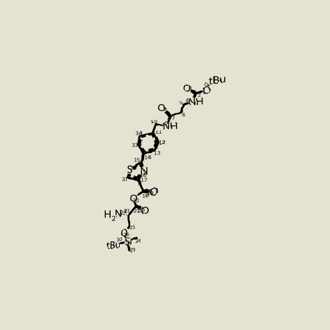 CC(C)(C)OC(=O)NCCC(=O)NCc1ccc(-c2nc(C(=O)OC(=O)[C@@H](N)CO[Si](C)(C)C(C)(C)C)cs2)cc1